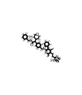 Cc1nc2c(c(C)c1CCc1nnn[nH]1)c1ccccc1n2Cc1ccc(C(C(=O)NCc2ccccc2)C2CCOCC2)cc1